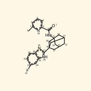 Cc1cccc(C(=O)NC23CC4CC(C2)CC(c2nc5ccc(F)cc5[nH]2)(C4)C3)n1